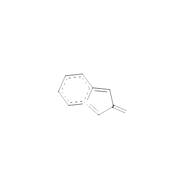 O=C1C=c2cccc[n+]2=C1